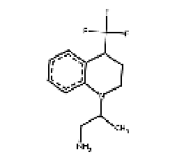 CC(CN)N1CCC(C(F)(F)F)c2ccccc21